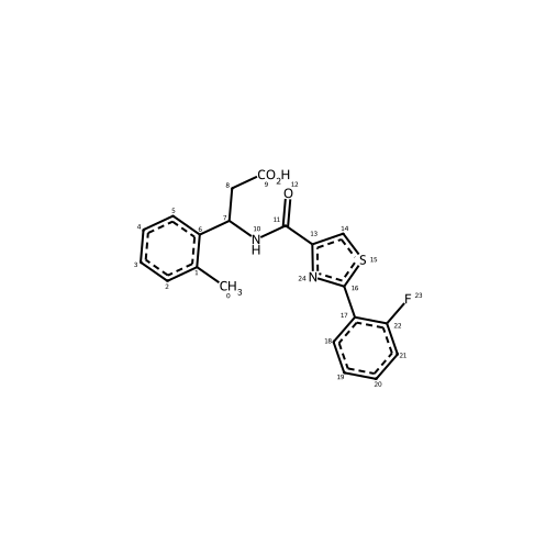 Cc1ccccc1C(CC(=O)O)NC(=O)c1csc(-c2ccccc2F)n1